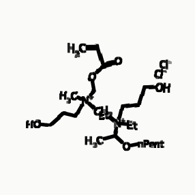 C=CC(=O)OC[N+](C)(C)CCCO.CCCCCOC(C)[N+](CC)(CC)CCCO.[Cl-].[Cl-]